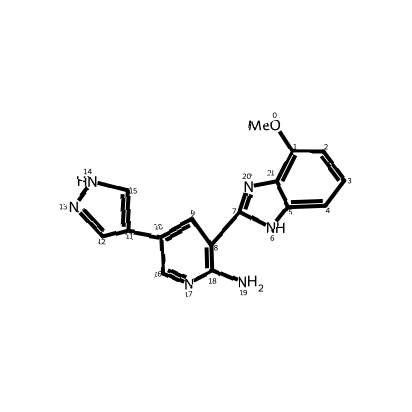 COc1cccc2[nH]c(-c3cc(-c4cn[nH]c4)cnc3N)nc12